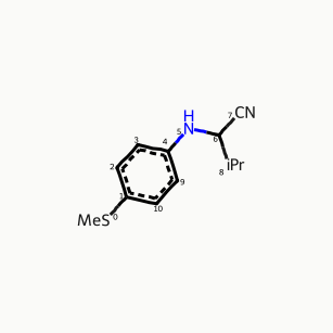 CSc1ccc(NC(C#N)C(C)C)cc1